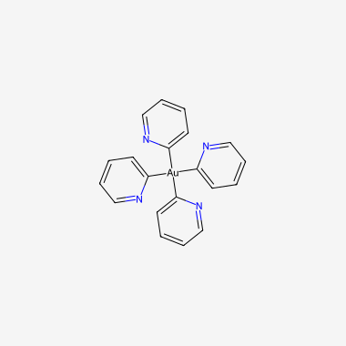 c1cc[c]([Au]([c]2ccccn2)([c]2ccccn2)[c]2ccccn2)nc1